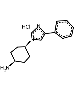 Cl.N[C@H]1CC[C@@H](n2cnc(-c3ccccc3)c2)CC1